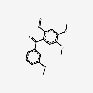 COc1cccc(C(=O)c2cc(OC)c(OC)cc2N=O)c1